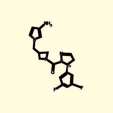 Nc1ccn(CC2CN(C(=O)N3N=CC[C@H]3c3cc(F)cc(F)c3)C2)c1